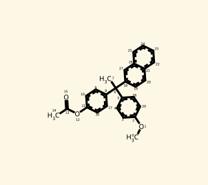 COc1ccc(C(C)(c2ccc(OC(C)=O)cc2)c2ccc3ccccc3c2)cc1